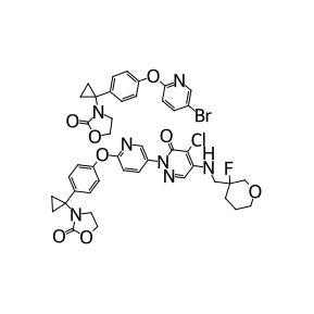 O=C1OCCN1C1(c2ccc(Oc3ccc(-n4ncc(NCC5(F)CCCOC5)c(Cl)c4=O)cn3)cc2)CC1.O=C1OCCN1C1(c2ccc(Oc3ccc(Br)cn3)cc2)CC1